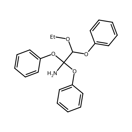 CCOC(Oc1ccccc1)C(N)(Oc1ccccc1)Oc1ccccc1